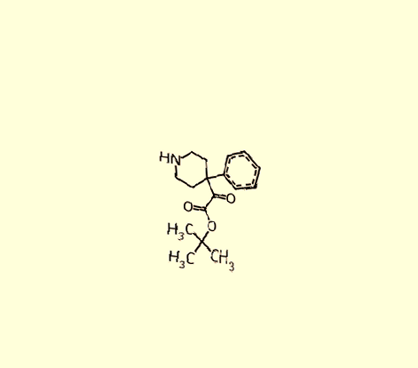 CC(C)(C)OC(=O)C(=O)C1(c2ccccc2)CCNCC1